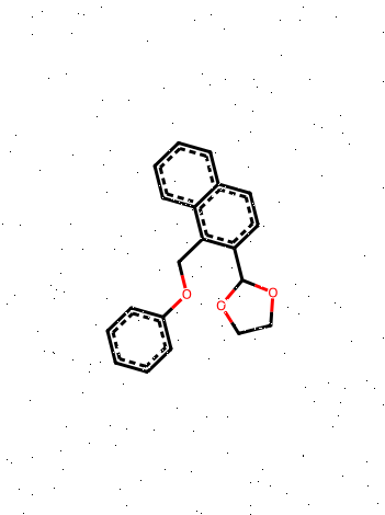 c1ccc(OCc2c(C3OCCO3)ccc3ccccc23)cc1